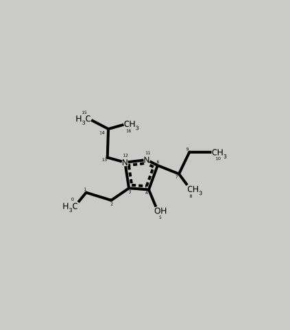 CCCc1c(O)c(C(C)CC)nn1CC(C)C